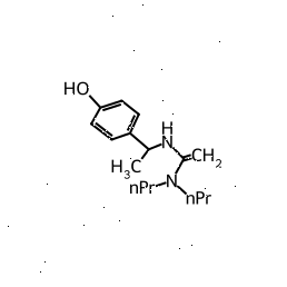 C=C(NC(C)c1ccc(O)cc1)N(CCC)CCC